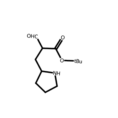 CC(C)(C)OC(=O)C(C=O)CC1CCCN1